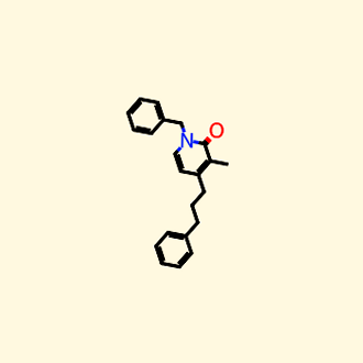 Cc1c(CCCc2ccccc2)ccn(Cc2ccccc2)c1=O